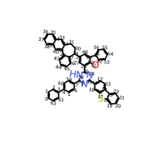 c1ccc(-c2ccc(C3N=C(c4ccc5c(c4)sc4ccccc45)N=C(c4cc(C5CCc6cc7ccccc7cc6-c6ccccc65)cc5c4oc4ccccc45)N3)cc2)cc1